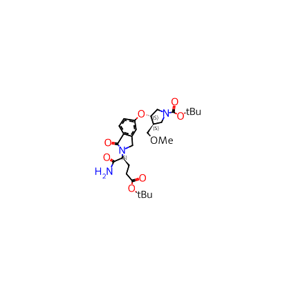 COC[C@@H]1CN(C(=O)OC(C)(C)C)C[C@H]1Oc1ccc2c(c1)CN([C@@H](CCC(=O)OC(C)(C)C)C(N)=O)C2=O